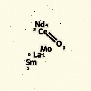 [La].[Mo].[Nd].[O]=[Ce].[Sm]